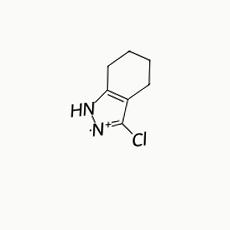 ClC1=[N+]NC2=C1CCCC2